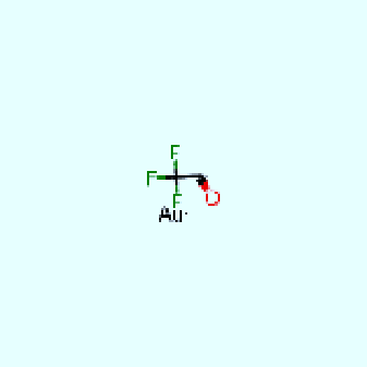 O=[C]C(F)(F)F.[Au]